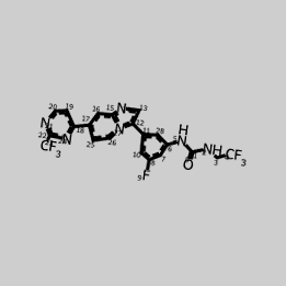 O=C(NCC(F)(F)F)Nc1cc(F)cc(-c2cnc3cc(-c4ccnc(C(F)(F)F)n4)ccn23)c1